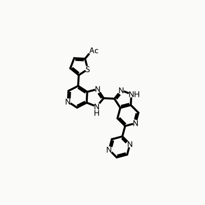 CC(=O)c1ccc(-c2cncc3[nH]c(-c4n[nH]c5cnc(-c6cnccn6)cc45)nc23)s1